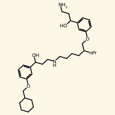 CCCC(CCCCNCCC(O)c1cccc(OCC2CCCCC2)c1)COc1cccc(C(O)CCN)c1